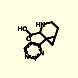 O=C(O)C1NCCC2CC21c1ccn[c]n1